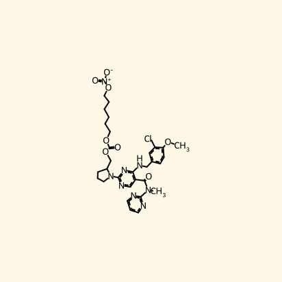 COc1ccc(CNc2nc(N3CCCC3COC(=O)OCCCCCCO[N+](=O)[O-])ncc2C(=O)N(C)c2ncccn2)cc1Cl